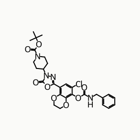 CC(C)(C)OC(=O)N1CCC(n2nc(-c3cc(Cl)c(OC(=O)NCc4ccccc4)c4c3OCCO4)oc2=O)CC1